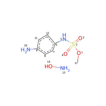 COS(=O)(=O)Nc1ccc(N)cc1.NO